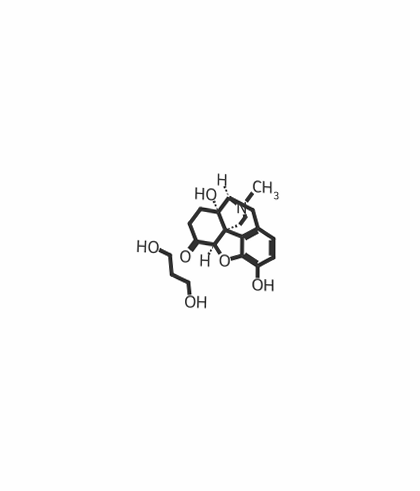 CN1CC[C@]23c4c5ccc(O)c4O[C@H]2C(=O)CC[C@@]3(O)[C@H]1C5.OCCCO